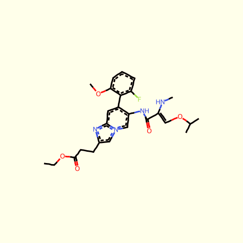 CCOC(=O)CCc1cn2cc(NC(=O)/C(=C/OC(C)C)NC)c(-c3c(F)cccc3OC)cc2n1